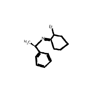 CCC1CCCCC1=N[C@H](C)c1ccccc1